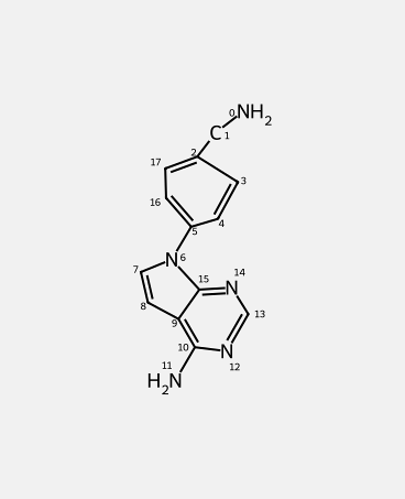 NCc1ccc(-n2ccc3c(N)ncnc32)cc1